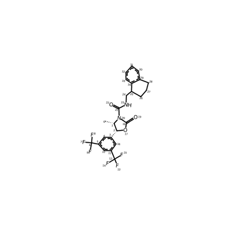 C[C@H]1[C@@H](c2cc(C(F)(F)F)cc(C(F)(F)F)c2)OC(=O)N1C(=O)NCC1CCCc2ccccc21